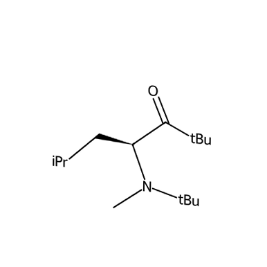 CC(C)C[C@@H](C(=O)C(C)(C)C)N(C)C(C)(C)C